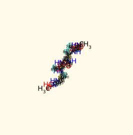 COCC(O)CN1CCC(Nc2cccc3c(CC(F)(F)F)c(C#CCNc4cc(F)c(S(=O)(=O)NC(=O)Cc5cc(NC6CCOCC6)c6sc(C#CCNc7cc(F)c(S(=O)(=O)NC(C)=O)cc7OCC(F)(F)F)c(CC(F)(F)F)c6c5)cc4OCC(F)(F)F)sc23)C(F)C1